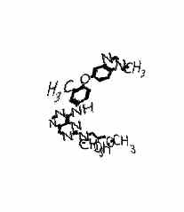 COC[C@H](O)CN(C)c1ncc2ncnc(Nc3ccc(Oc4ccc5c(c4)ncn5C)c(C)c3)c2n1